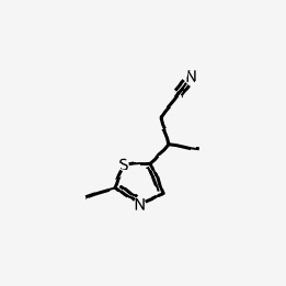 Cc1ncc(C(C)CC#N)s1